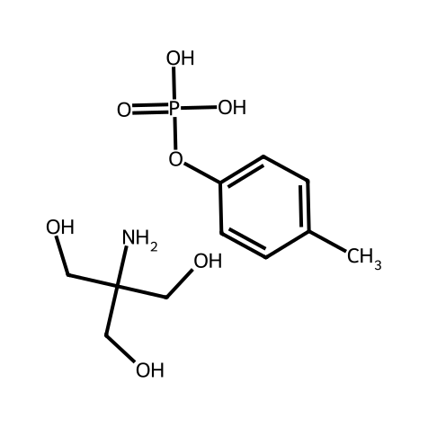 Cc1ccc(OP(=O)(O)O)cc1.NC(CO)(CO)CO